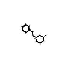 C[C@H]1CCCN(CCc2ccccc2)C1